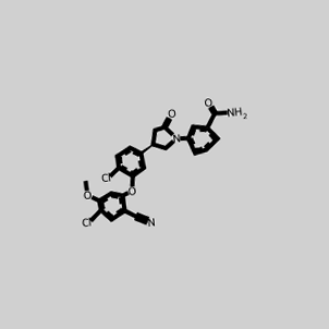 COc1cc(Oc2cc([C@H]3CC(=O)N(c4cccc(C(N)=O)c4)C3)ccc2Cl)c(C#N)cc1Cl